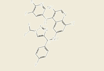 N#Cc1cnc2c(Cl)cc(N[C@@H](c3ccc(F)cc3)c3cn(C(F)F)nn3)cc2c1Nc1cnc(F)c(F)c1